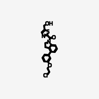 O=C(c1ncc(CO)s1)N1CCc2c(-c3cccc(OCCCl)c3)cccc21